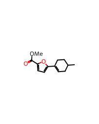 COC(=O)c1ccc(C2=CCC(C)CC2)o1